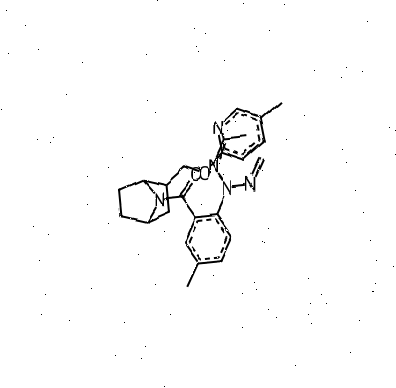 C=NN(/N=C\C)c1ccc(C)cc1C(=O)N1C2CCC1C(COc1ccc(C)cn1)C2